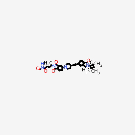 CC(CCC(=O)NC=O)N1C(=O)c2ccc(N3CCC(C#Cc4ccc5c(c4)CN(C4C(C)(C)CC4(C)C)C5=O)CC3)cc2C1=O